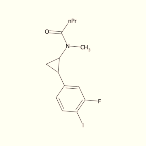 CCCC(=O)N(C)C1CC1c1ccc(I)c(F)c1